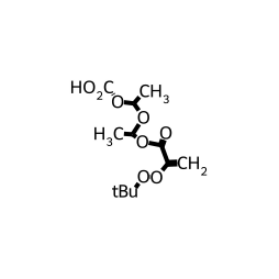 C=C(OOC(C)(C)C)C(=O)OC(C)OC(C)OC(=O)O